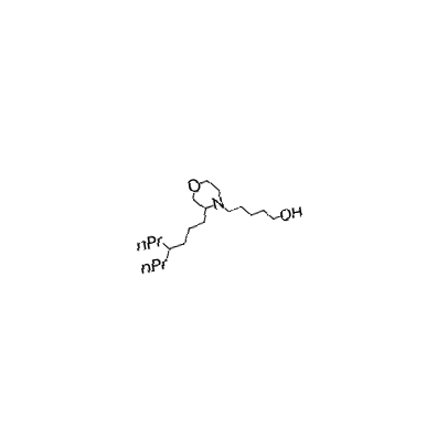 CCCC(CCC)CCCC1COCCN1CCCCCO